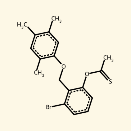 CC(=S)Oc1cccc(Br)c1COc1cc(C)c(C)cc1C